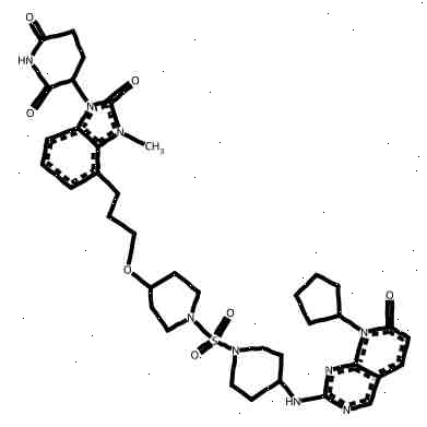 Cn1c(=O)n(C2CCC(=O)NC2=O)c2cccc(CCCOC3CCN(S(=O)(=O)N4CCC(Nc5ncc6ccc(=O)n(C7CCCC7)c6n5)CC4)CC3)c21